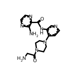 NCC(=O)N1CCN(c2ccncc2NC(=O)c2nccnc2N)CC1